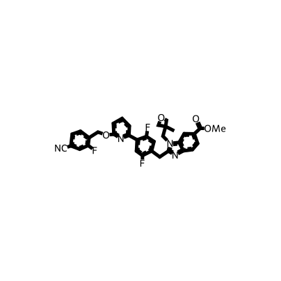 COC(=O)c1ccc2nc(Cc3cc(F)c(-c4cccc(OCc5ccc(C#N)cc5F)n4)cc3F)n(CC3(C)COC3)c2c1